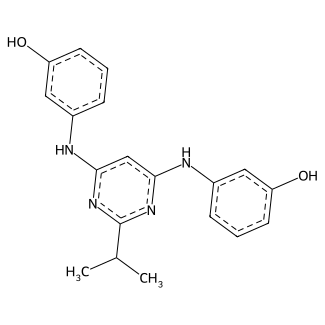 CC(C)c1nc(Nc2cccc(O)c2)cc(Nc2cccc(O)c2)n1